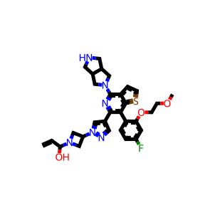 C=CC(O)N1CC(n2cc(-c3nc(N4CC5CNCC5C4)c4ccsc4c3-c3ccc(F)cc3OCCOC)cn2)C1